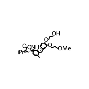 COCCCOc1cc(CC2=C[C@](N)([C@@H]3C[C@@H](C(C)C)C(=O)O3)CC=C2C)ccc1OCCCO